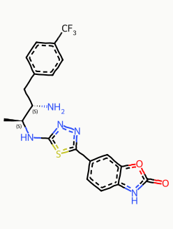 C[C@H](Nc1nnc(-c2ccc3[nH]c(=O)oc3c2)s1)[C@@H](N)Cc1ccc(C(F)(F)F)cc1